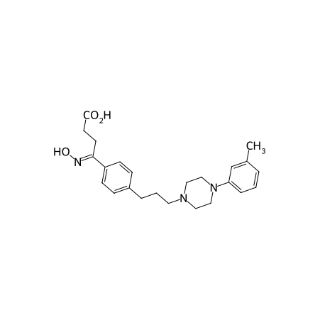 Cc1cccc(N2CCN(CCCc3ccc(C(CCC(=O)O)=NO)cc3)CC2)c1